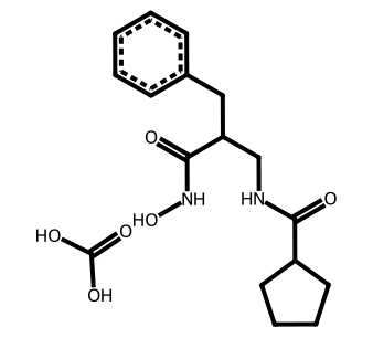 O=C(NO)C(CNC(=O)C1CCCC1)Cc1ccccc1.O=C(O)O